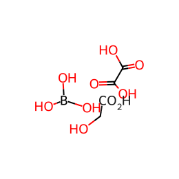 O=C(O)C(=O)O.O=C(O)CO.OB(O)O